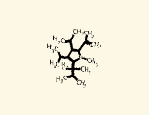 CC(C)C1C(C(C)C)C(C(C)(C)C(C)C)N(C)C1C(C)C